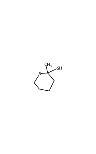 CC1(S)CCCCS1